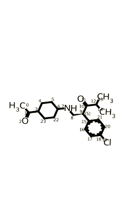 CC(=O)C1CCC(NC[C@@H](C(=O)C(C)C)c2ccc(Cl)cc2)CC1